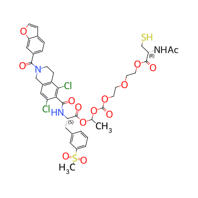 CC(=O)N[C@@H](CS)C(=O)OCCOCCOC(=O)OC(C)OC(=O)[C@H](Cc1cccc(S(C)(=O)=O)c1)NC(=O)c1c(Cl)cc2c(c1Cl)CCN(C(=O)c1ccc3ccoc3c1)C2